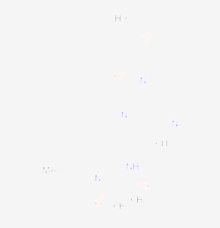 COCCN1C(=O)C(C)(C)C(=O)Nc2cc(CN(CCn3ccc4oc(C)cc4c3=O)Cc3cccnc3C)ccc21